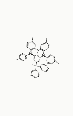 Cc1ccc(N2c3ccc(C)cc3B3c4cc(C)ccc4N(c4ccc(C)cc4)c4cc(C(C)(c5ccccc5)c5ccccc5)cc2c43)cc1